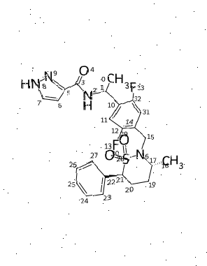 CC(NC(=O)c1cc[nH]n1)c1cc(F)c(CN2[C@H](C)CC[C@@H](c3ccccc3)S2(=O)=O)cc1F